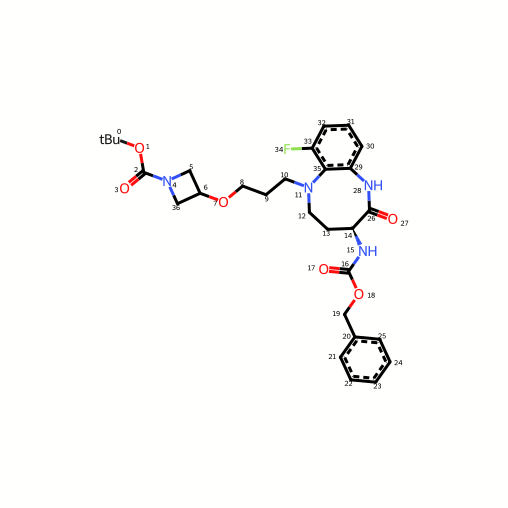 CC(C)(C)OC(=O)N1CC(OCCCN2CC[C@H](NC(=O)OCc3ccccc3)C(=O)Nc3cccc(F)c32)C1